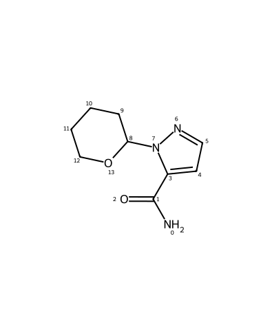 NC(=O)c1ccnn1C1CCCCO1